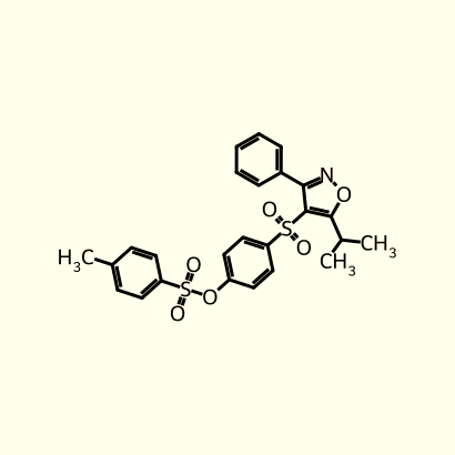 Cc1ccc(S(=O)(=O)Oc2ccc(S(=O)(=O)c3c(-c4ccccc4)noc3C(C)C)cc2)cc1